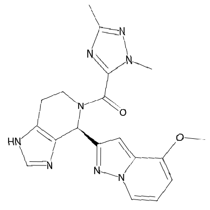 COc1cccn2nc([C@H]3c4nc[nH]c4CCN3C(=O)c3nc(C)nn3C)cc12